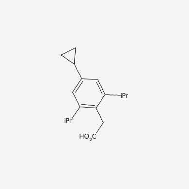 CC(C)c1cc(C2CC2)cc(C(C)C)c1CC(=O)O